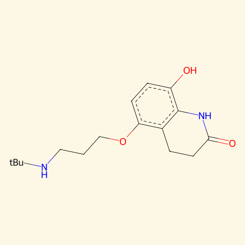 CC(C)(C)NCCCOc1ccc(O)c2c1CCC(=O)N2